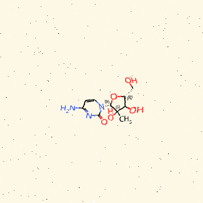 C[C@]1(O)C(O)[C@@H](CO)O[C@H]1n1ccc(N)nc1=O